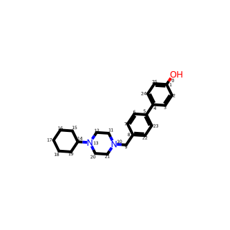 Oc1ccc(-c2ccc(CN3CCN(C4CCCCC4)CC3)cc2)cc1